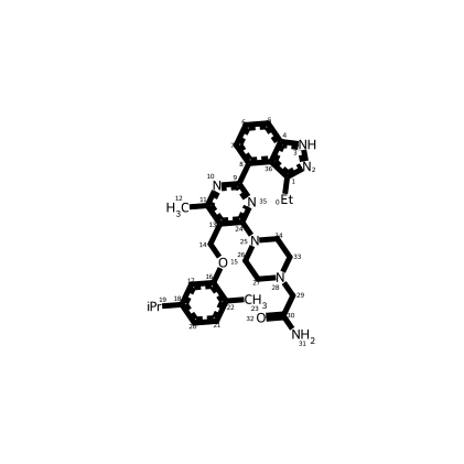 CCc1n[nH]c2cccc(-c3nc(C)c(COc4cc(C(C)C)ccc4C)c(N4CCN(CC(N)=O)CC4)n3)c12